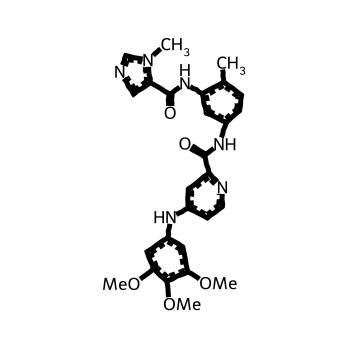 COc1cc(Nc2ccnc(C(=O)Nc3ccc(C)c(NC(=O)c4cncn4C)c3)c2)cc(OC)c1OC